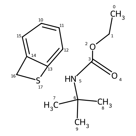 CCOC(=O)NC(C)(C)C.c1ccc2c(c1)CS2